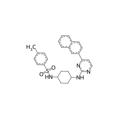 Cc1ccc(S(=O)(=O)NC2CCC(Nc3nccc(-c4ccc5ccccc5c4)n3)CC2)cc1